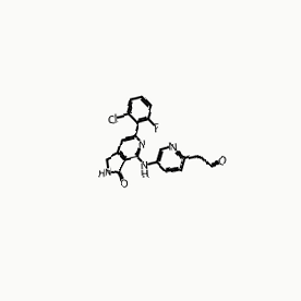 O=CCc1ccc(Nc2nc(-c3c(F)cccc3Cl)cc3c2C(=O)NC3)cn1